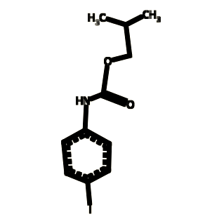 CC(C)COC(=O)Nc1ccc(I)cc1